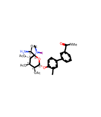 CNC(=O)c1cccc(-c2ccc(O[C@H]3O[C@@]([C@@H](N)OC(C)=O)(N(C)I)[C@@H](OC(C)=O)[C@H](OC(C)=O)[C@@H]3OC(C)=O)c(C)c2)c1